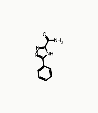 NC(=O)c1nnc(-c2ccccc2)[nH]1